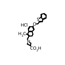 CC1=C(CN2CC(C(=O)O)C2)CCc2cc(OCc3cc4ccccc4s3)ccc21.Cl